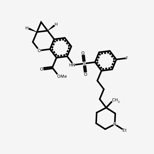 CCN1CCCC(C)(CCCc2cc(F)ccc2S(=O)(=O)Nc2ccc3c(c2C(=O)OC)OC[C@@H]2C[C@H]32)C1